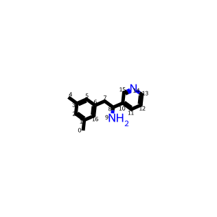 Cc1cc(C)cc(CC(N)c2cccnc2)c1